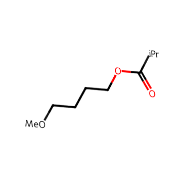 COCCCCOC(=O)C(C)C